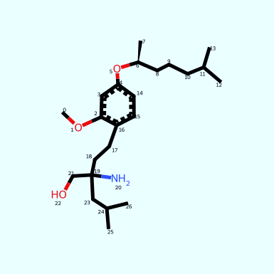 COc1cc(O[C@@H](C)CCCC(C)C)ccc1CCC(N)(CO)CC(C)C